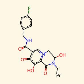 CC(C)CN1C(=O)c2c(O)c(=O)c(C(=O)NCc3ccc(F)cc3)cn2CC1O